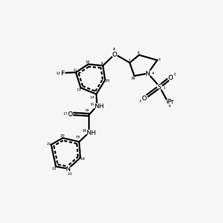 CC(C)S(=O)(=O)N1CCC(Oc2cc(F)cc(NC(=O)Nc3cccnc3)c2)C1